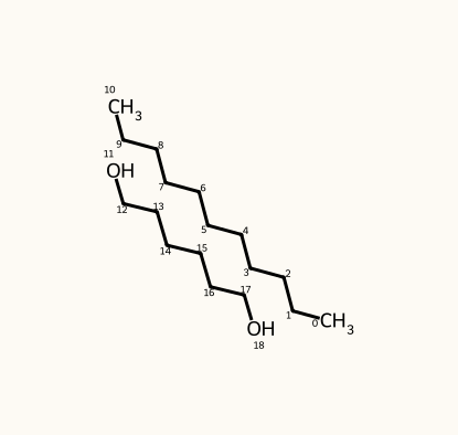 CCCCCCCCCCC.OCCCCCCO